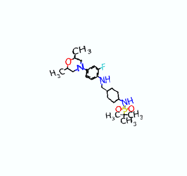 CC1CN(c2ccc(NCC3CCC(NS(=O)(=O)C(C)(C)C)CC3)c(F)c2)CC(C)O1